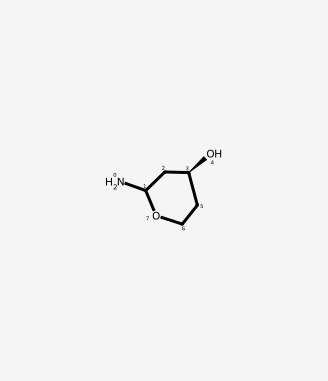 NC1C[C@@H](O)CCO1